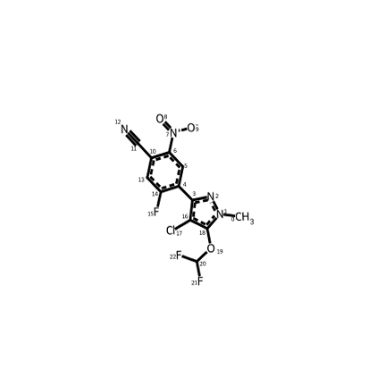 Cn1nc(-c2cc([N+](=O)[O-])c(C#N)cc2F)c(Cl)c1OC(F)F